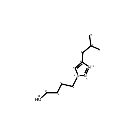 C[C](C)Cc1cn(CCCCO)nn1